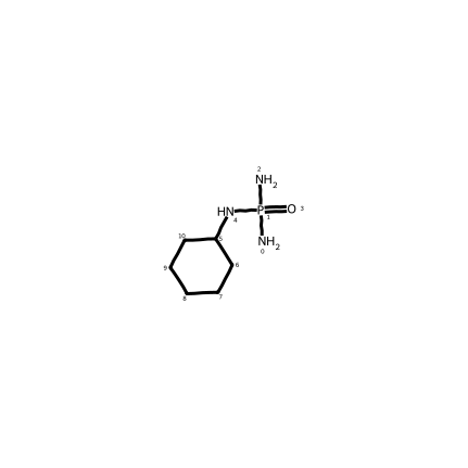 NP(N)(=O)NC1CCCCC1